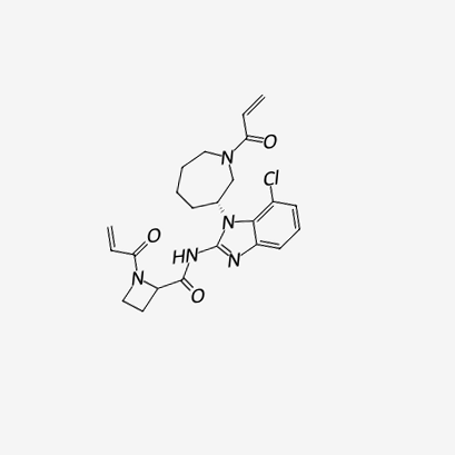 C=CC(=O)N1CCCC[C@@H](n2c(NC(=O)C3CCN3C(=O)C=C)nc3cccc(Cl)c32)C1